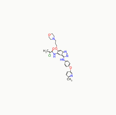 C=C(Cl)C(=O)Nc1cc2c(Nc3ccc(Oc4ccc(C)nc4)cc3)ncnc2cc1OCCCN1CCOCC1